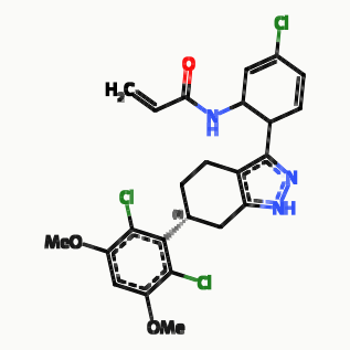 C=CC(=O)NC1C=C(Cl)C=CC1c1n[nH]c2c1CC[C@@H](c1c(Cl)c(OC)cc(OC)c1Cl)C2